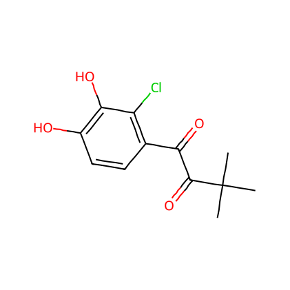 CC(C)(C)C(=O)C(=O)c1ccc(O)c(O)c1Cl